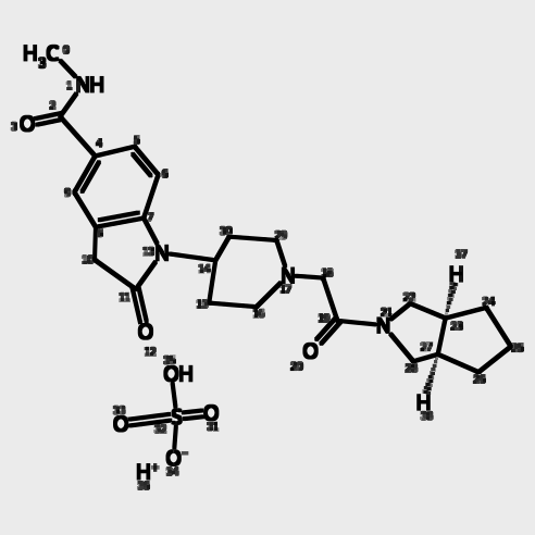 CNC(=O)c1ccc2c(c1)CC(=O)N2C1CCN(CC(=O)N2C[C@H]3CCC[C@H]3C2)CC1.O=S(=O)([O-])O.[H+]